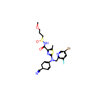 COCCC[S+]([O-])NC(=O)c1nc(N(Cc2ncc(Br)cc2F)C2=CCC(C#N)C=C2)sc1C